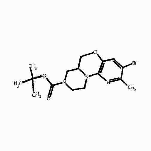 Cc1nc2c(cc1Br)OCC1CN(C(=O)OC(C)(C)C)CCN21